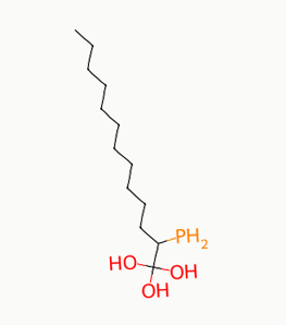 CCCCCCCCCCCC(P)C(O)(O)O